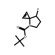 CC(C)(C)OC(=O)N1CCC(F)C12C=C2